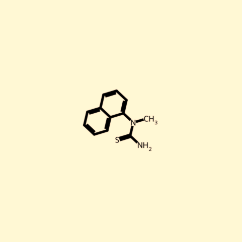 CN(C(N)=S)c1cccc2ccccc12